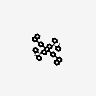 c1ccc2c(c1)Oc1ccccc1N2c1ccc2c(-c3ccc(-c4cccc5ccccc45)cc3)c3cc(N4c5ccccc5Oc5ccccc54)ccc3c(-c3ccc(-c4cccc5ccccc45)cc3)c2c1